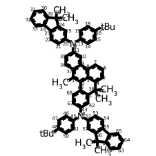 Cc1c2c3c(cccc3c3cc(N(c4ccc(C(C)(C)C)cc4)c4ccc5c(c4)C(C)(C)c4ccccc4-5)ccc13)C(C)(C)c1cc(N(c3ccc(C(C)(C)C)cc3)c3ccc4c(c3)C(C)(C)c3ccccc3-4)ccc1-2